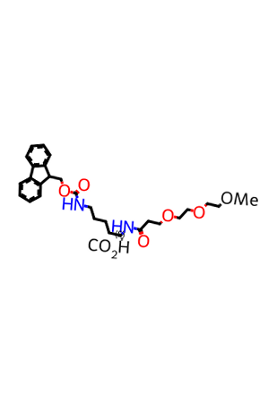 COCCOCCOCCC(=O)N[C@@H](CCCCNC(=O)OCC1c2ccccc2-c2ccccc21)C(=O)O